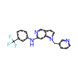 FC(F)(F)c1cccc(Nc2cc3c(ccn3Cc3cccnc3)cn2)c1